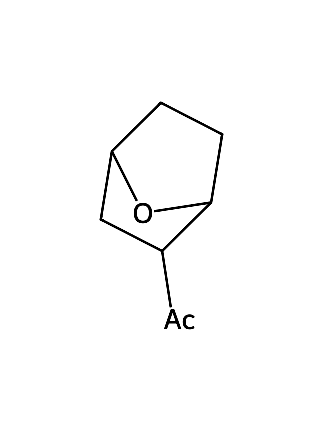 CC(=O)C1CC2CCC1O2